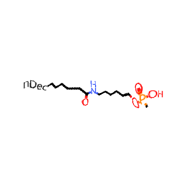 CCCCCCCCCCCCCCCC(=O)NCCCCCCOP(C)(=O)O